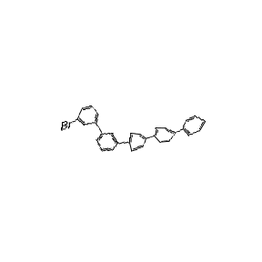 Brc1cccc(-c2cccc(-c3ccc(-c4ccc(-c5ccccc5)cc4)cc3)c2)c1